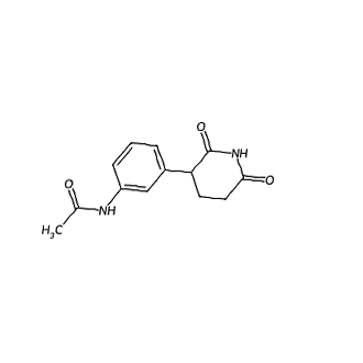 CC(=O)Nc1cccc(C2CCC(=O)NC2=O)c1